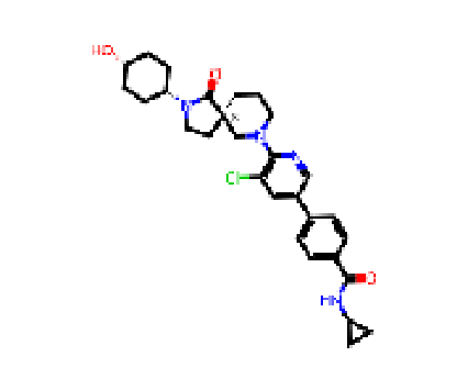 O=C(NC1CC1)c1ccc(-c2cnc(N3CCC[C@@]4(CCN([C@H]5CC[C@@H](O)CC5)C4=O)C3)c(Cl)c2)cc1